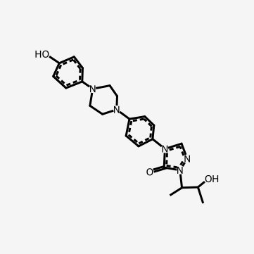 CC(O)C(C)n1ncn(-c2ccc(N3CCN(c4ccc(O)cc4)CC3)cc2)c1=O